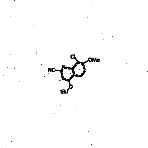 COc1ccc2c(OC(C)(C)C)cc(C#N)nc2c1Cl